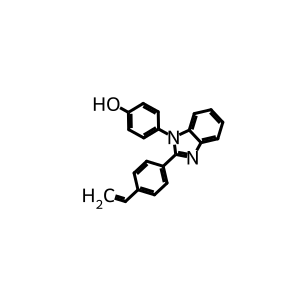 C=Cc1ccc(-c2nc3ccccc3n2-c2ccc(O)cc2)cc1